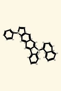 c1ccc(-n2ccc3cc4cc5c(cc4cc32)c2ccccc2n5-c2cccc3ccccc23)cc1